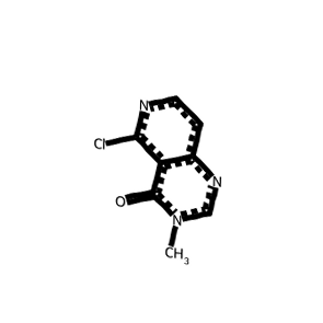 Cn1cnc2ccnc(Cl)c2c1=O